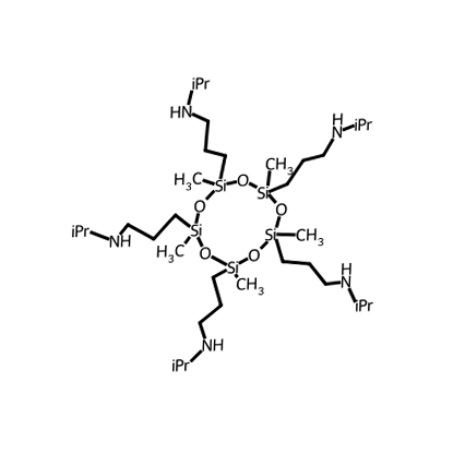 CC(C)NCCC[Si]1(C)O[Si](C)(CCCNC(C)C)O[Si](C)(CCCNC(C)C)O[Si](C)(CCCNC(C)C)O[Si](C)(CCCNC(C)C)O1